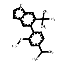 COc1cc(C(C)C)ccc1-c1cc2cc[nH]c2cc1C(C)(C)C